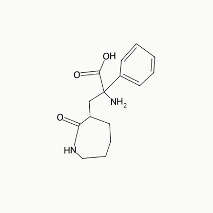 NC(CC1CCCCNC1=O)(C(=O)O)c1ccccc1